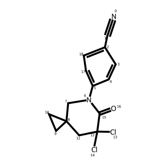 N#Cc1ccc(N2CC3(CC3)CC(Cl)(Cl)C2=O)cc1